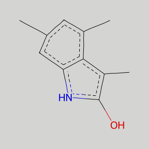 Cc1cc(C)c2c(C)c(O)[nH]c2c1